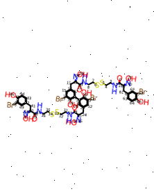 O=C(NCCSSCCNC(=O)/C(Cc1cc(Br)c(O)c(-c2cc(C/C(=N/O)C(=O)NCCSSCCNC(=O)/C(Cc3ccc(O)c(Br)c3)=N\O)cc(Br)c2O)c1)=N\O)/C(Cc1ccc(O)c(Br)c1)=N\O